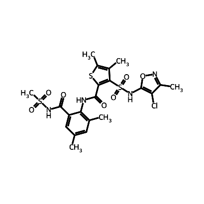 Cc1cc(C)c(NC(=O)c2sc(C)c(C)c2S(=O)(=O)Nc2onc(C)c2Cl)c(C(=O)NS(C)(=O)=O)c1